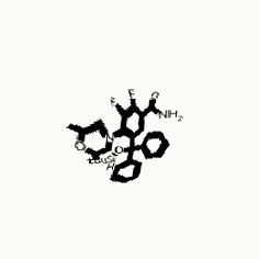 CC1CN(c2c(C(O[SiH2]C(C)(C)C)(c3ccccc3)c3ccccc3)cc(C(N)=O)c(F)c2F)CC(C)O1